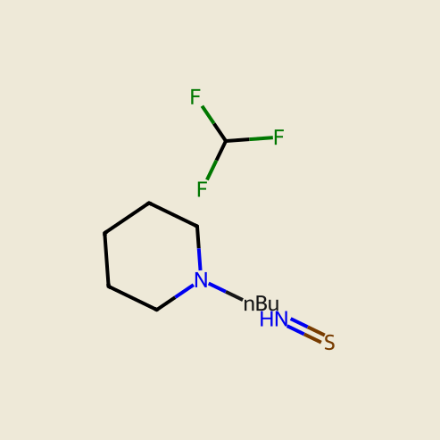 CCCCN1CCCCC1.FC(F)F.N=S